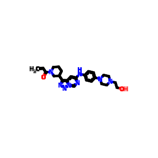 C=CC(=O)N1CCCC(c2nnn3cnc(Nc4ccc(N5CCN(CCO)CC5)cc4)cc23)C1